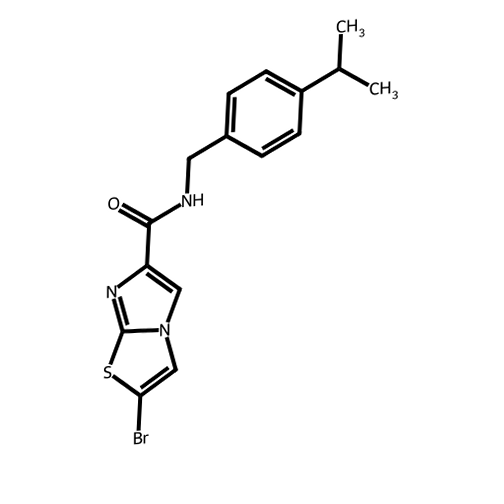 CC(C)c1ccc(CNC(=O)c2cn3cc(Br)sc3n2)cc1